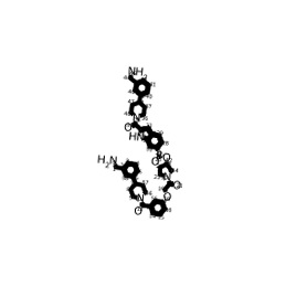 NCc1cccc(C2CCN(C(=O)c3cccc(OCC(=O)N4CC5OB(c6ccc7cc(C(=O)N8CCC(c9cccc(CN)c9)CC8)[nH]c7c6)OC5C4)c3)CC2)c1